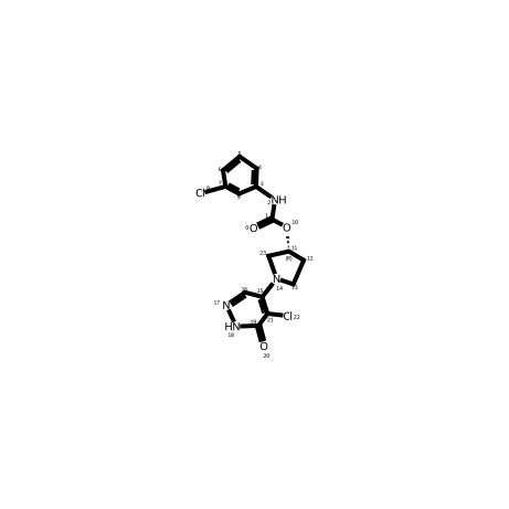 O=C(Nc1cccc(Cl)c1)O[C@@H]1CCN(c2cn[nH]c(=O)c2Cl)C1